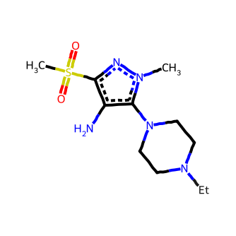 CCN1CCN(c2c(N)c(S(C)(=O)=O)nn2C)CC1